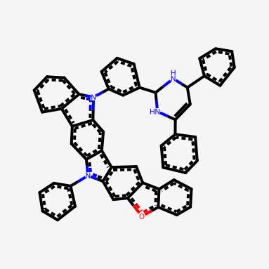 C1=C(c2ccccc2)NC(c2cccc(-n3c4ccccc4c4cc5c(cc43)c3cc4c(cc3n5-c3ccccc3)oc3ccccc34)c2)NC1c1ccccc1